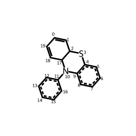 C1=CC2Sc3ccccc3N(c3ccccc3)C2C=C1